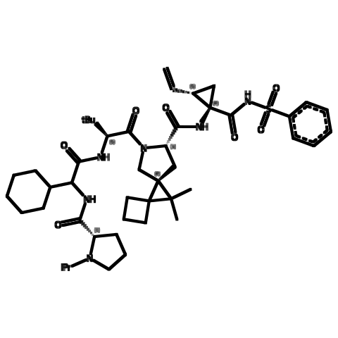 C=C[C@@H]1C[C@]1(NC(=O)[C@@H]1C[C@@]2(CN1C(=O)[C@@H](NC(=O)C(NC(=O)[C@@H]1CCCN1C(C)C)C1CCCCC1)C(C)(C)C)C(C)(C)C21CCC1)C(=O)NS(=O)(=O)c1ccccc1